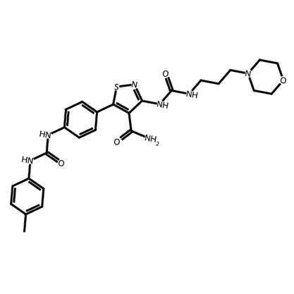 Cc1ccc(NC(=O)Nc2ccc(-c3snc(NC(=O)NCCCN4CCOCC4)c3C(N)=O)cc2)cc1